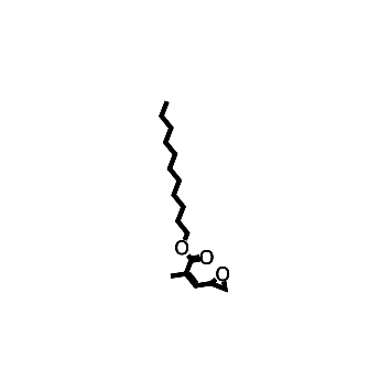 CCCCCCCCCCCOC(=O)C(C)=CC1CO1